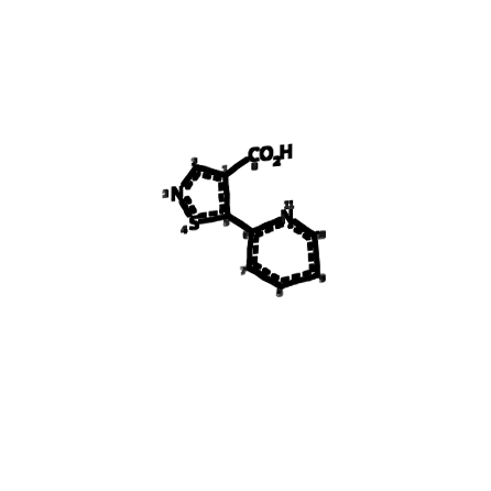 O=C(O)c1cnsc1-c1ccccn1